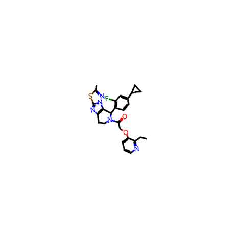 CCc1ncccc1OCC(=O)N1CCc2nc3sc(C)nn3c2C1c1ccc(C2CC2)cc1F